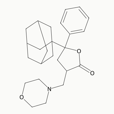 O=C1OC(c2ccccc2)(C23CC4CC(CC(C4)C2)C3)CC1CN1CCOCC1